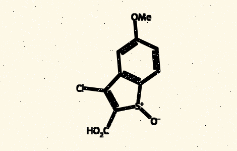 COc1ccc2c(c1)c(Cl)c(C(=O)O)[s+]2[O-]